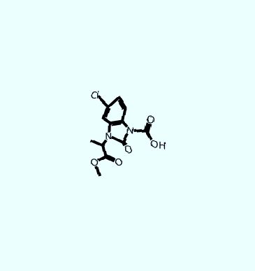 COC(=O)C(C)n1c(=O)n(C(=O)O)c2ccc(Cl)cc21